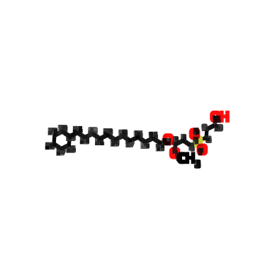 COC(CCS(=O)(=O)CCCO)OCCCCCCCCCCCCC1CCCCC1